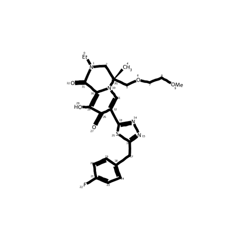 CCN1C[C@](C)(COCCOC)n2cc(-c3nnc(Cc4ccc(F)cc4)s3)c(=O)c(O)c2C1=O